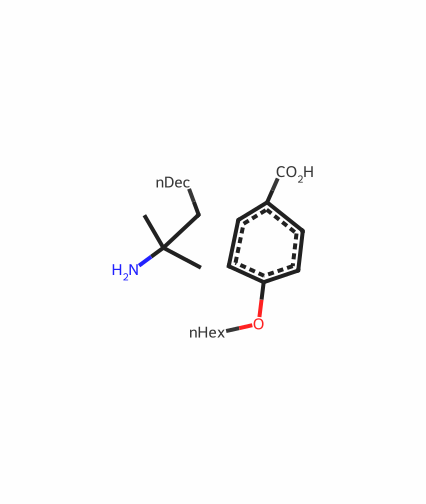 CCCCCCCCCCCC(C)(C)N.CCCCCCOc1ccc(C(=O)O)cc1